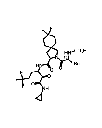 CC(F)(F)CCC(NC(=O)C1CC2(CCC(F)(F)CC2)CN1C(=O)[C@@H](NC(=O)O)C(C)(C)C)C(=O)C(=O)NC1CC1